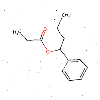 [CH2]CCC(OC(=O)CC)c1ccccc1